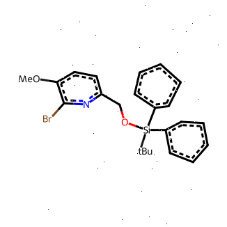 COc1ccc(CO[Si](c2ccccc2)(c2ccccc2)C(C)(C)C)nc1Br